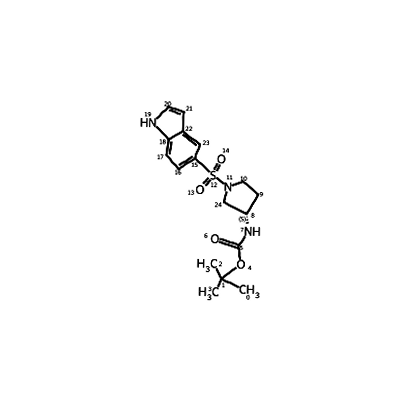 CC(C)(C)OC(=O)N[C@H]1CCN(S(=O)(=O)c2ccc3[nH]ccc3c2)C1